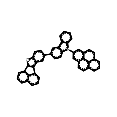 c1cc2c3c(cccc3c1)-c1c-2oc2ccc(-c3ccc4c(c3)c3ccccc3n4-c3cc4ccc5cccc6ccc(c3)c4c56)cc12